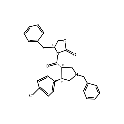 O=C1OC[C@H](Cc2ccccc2)N1C(=O)[C@@H]1CN(Cc2ccccc2)C[C@H]1c1ccc(Cl)cc1